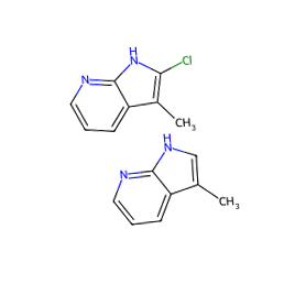 Cc1c(Cl)[nH]c2ncccc12.Cc1c[nH]c2ncccc12